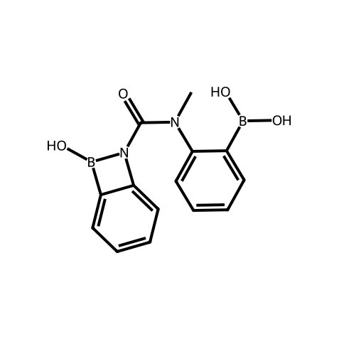 CN(C(=O)N1B(O)c2ccccc21)c1ccccc1B(O)O